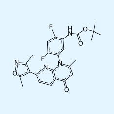 Cc1noc(C)c1-c1ccc2c(=O)cc(C)n(-c3cc(NC(=O)OC(C)(C)C)c(F)cc3F)c2n1